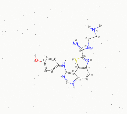 COc1ccc(Nc2ncnc3ccc4nc(C(=N)NCCN(C)C)sc4c23)cc1